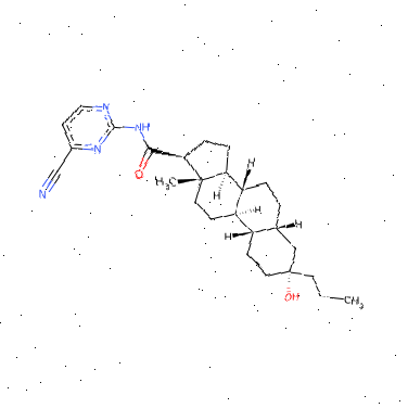 CCC[C@@]1(O)CC[C@H]2[C@H](CC[C@@H]3[C@@H]2CC[C@]2(C)[C@@H](C(=O)Nc4nccc(C#N)n4)CC[C@@H]32)C1